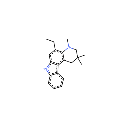 CCc1cc2[nH]c3ccccc3c2c2c1N(C)CC(C)(C)C2